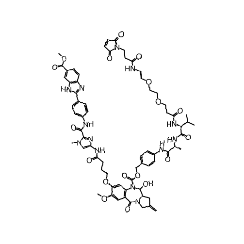 C=C1CC2C(O)N(C(=O)OCc3ccc(NC(=O)[C@H](C)NC(=O)[C@@H](NC(=O)CCOCCOCCNC(=O)CCN4C(=O)C=CC4=O)C(C)C)cc3)c3cc(OCCCC(=O)Nc4cn(C)c(C(=O)Nc5ccc(-c6nc7ccc(C(=O)OC)cc7[nH]6)cc5)n4)c(OC)cc3C(=O)N2C1